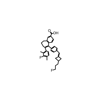 Cc1ccc(C2=C(c3ccc(C=C4CC(CCCF)C4)cc3)c3ccc(C(=O)O)cc3CCC2)c(C)c1F